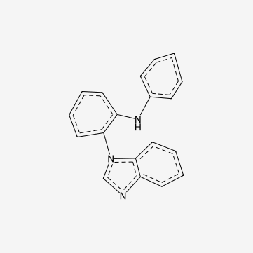 c1ccc(Nc2ccccc2-n2cnc3ccccc32)cc1